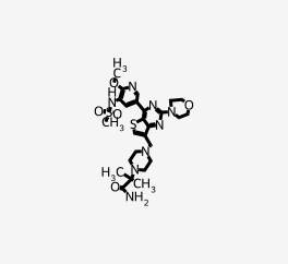 COc1ncc(-c2nc(N3CCOCC3)nc3c(CN4CCN(C(C)(C)C(N)=O)CC4)csc23)cc1NS(C)(=O)=O